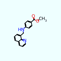 COC(=O)c1ccc(NCc2cccc3cccnc23)cc1